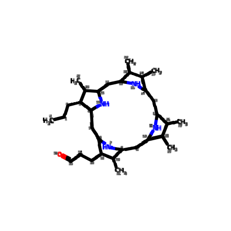 CCCC1C2CC3NC(CC4NC(CC5NC(CC(N2)C1C)C(C)C5C)C(C)C4C)C(C)C3CCC=O